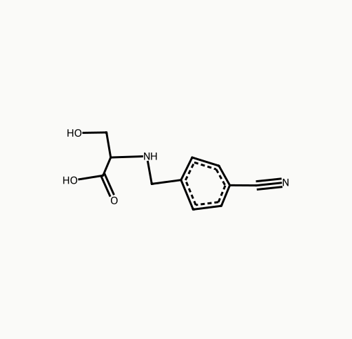 N#Cc1ccc(CNC(CO)C(=O)O)cc1